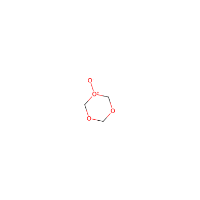 [O-][O+]1COCOC1